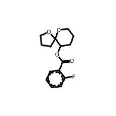 O=C(OC1CCCOC12CCCO2)c1ccccc1F